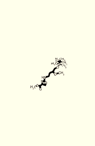 COC(=O)c1csc(NCCC(CO[Si](C)(C)C(C)(C)C)OC)n1